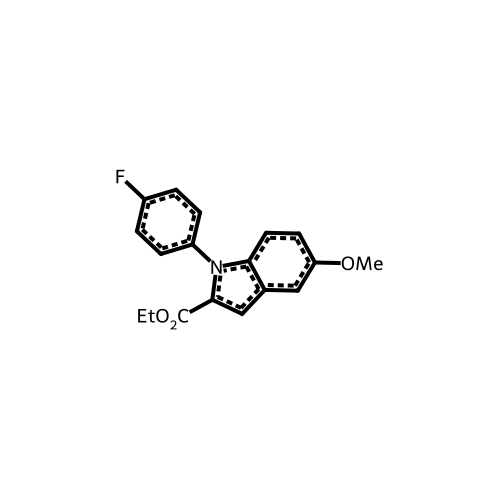 CCOC(=O)c1cc2cc(OC)ccc2n1-c1ccc(F)cc1